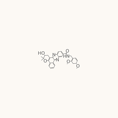 COC1=C(CNC(=O)c2ccc3nc4c5c(c6ccccc6c4nc3c2)OC(C)(C)C(O)C5)C=CC(OC)C1